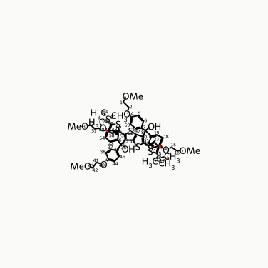 COCCOc1ccc(C(O)(c2ccc(OCCOC)cc2)c2c(-c3ccc(S(C)(C)C)s3)sc3c(C(O)(c4ccc(OCCOC)cc4)c4ccc(OCCOC)cc4)c(-c4ccc(S(C)(C)C)s4)sc23)cc1